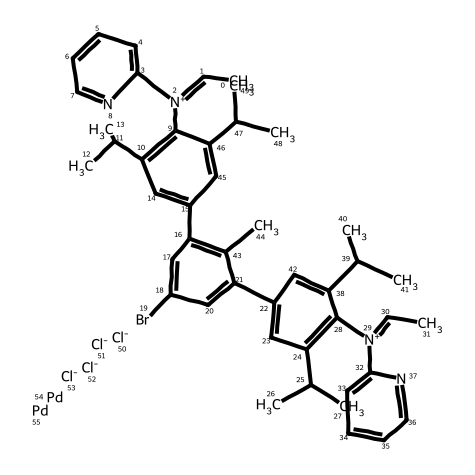 CC=[N+](c1ccccn1)c1c(C(C)C)cc(-c2cc(Br)cc(-c3cc(C(C)C)c([N+](=CC)c4ccccn4)c(C(C)C)c3)c2C)cc1C(C)C.[Cl-].[Cl-].[Cl-].[Cl-].[Pd].[Pd]